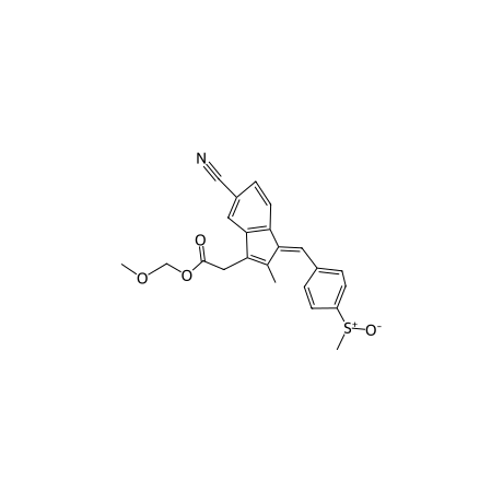 COCOC(=O)CC1=C(C)/C(=C\c2ccc([S+](C)[O-])cc2)c2ccc(C#N)cc21